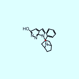 Oc1cc2ccn(C3CC4CCC(C3)N4Cc3ccccc3)c2nn1